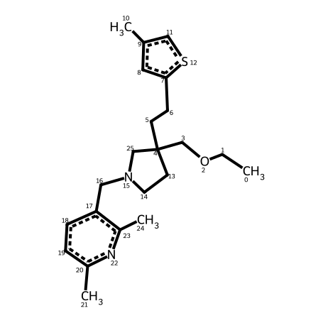 CCOCC1(CCc2cc(C)cs2)CCN(Cc2ccc(C)nc2C)C1